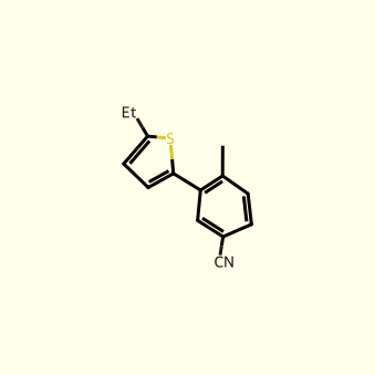 CCc1ccc(-c2cc(C#N)ccc2C)s1